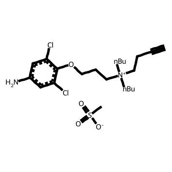 C#CCC[N+](CCCC)(CCCC)CCCOc1c(Cl)cc(N)cc1Cl.CS(=O)(=O)[O-]